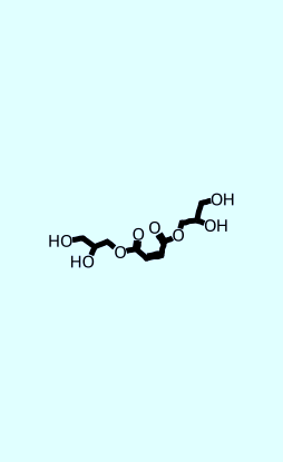 O=C(/C=C\C(=O)OCC(O)CO)OCC(O)CO